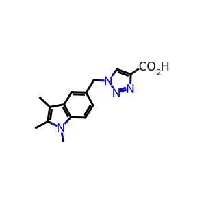 Cc1c(C)n(C)c2ccc(Cn3cc(C(=O)O)nn3)cc12